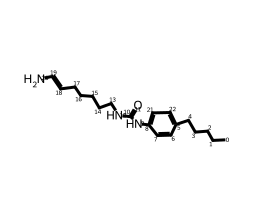 CCCCCc1ccc(NC(=O)NCCCCCC=CN)cc1